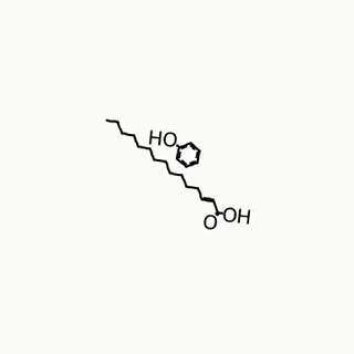 CCCCCCCCCCCCC=CC(=O)O.Oc1ccccc1